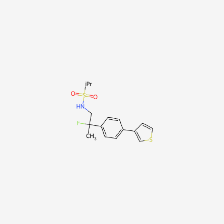 CC(C)S(=O)(=O)NCC(C)(F)c1ccc(-c2ccsc2)cc1